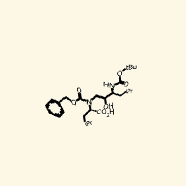 CC(C)CC(NC(=O)OC(C)(C)C)C(O)CN(C(=O)OCc1ccccc1)[C@H](CC(C)C)C(=O)O